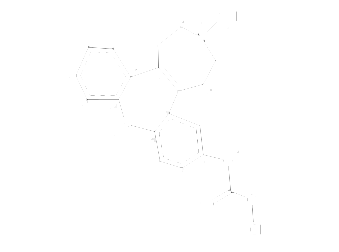 COC(=O)Oc1ccc2c(c1)C1=C(CCN(C)CC1)c1ccccc1S2